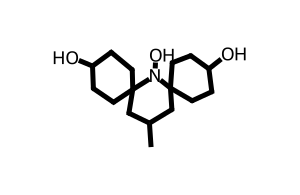 CC1CC2(CCC(O)CC2)N(O)C2(CCC(O)CC2)C1